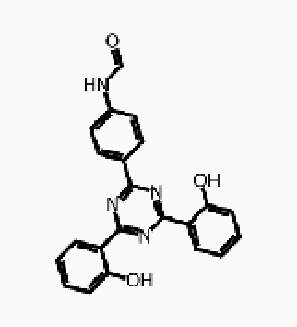 O=CNc1ccc(-c2nc(-c3ccccc3O)nc(-c3ccccc3O)n2)cc1